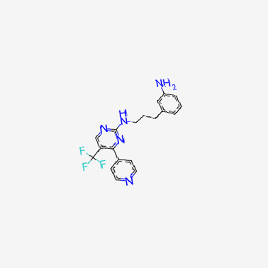 Nc1cccc(CCCNc2ncc(C(F)(F)F)c(-c3ccncc3)n2)c1